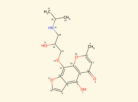 Cc1cc(=O)c2c(O)c3ccoc3c(OCC(O)CNC(C)C)c2o1